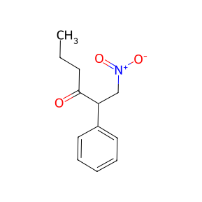 CCCC(=O)C(C[N+](=O)[O-])c1ccccc1